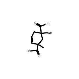 CC1(C(=O)O)C=CCC(O)(C(=O)O)C1